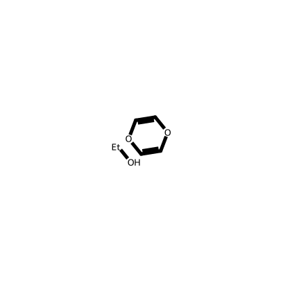 C1=COC=CO1.CCO